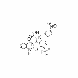 O=C(O)c1c(-n2c(=O)[nH]c3cscc3c2=O)c2cc(C(F)(F)F)ccc2n1Cc1cccc([N+](=O)[O-])c1